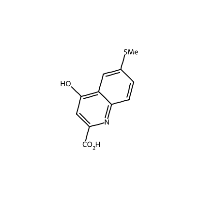 CSc1ccc2nc(C(=O)O)cc(O)c2c1